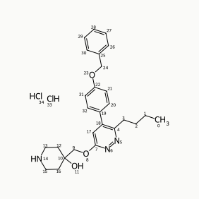 CCCCc1nnc(OCC2(O)CCNCC2)cc1-c1ccc(OCc2ccccc2)cc1.Cl.Cl